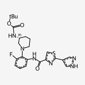 CC(C)(C)OC(=O)N[C@@H]1CCCN(c2c(F)cccc2NC(=O)c2csc(-c3cn[nH]c3)n2)C1